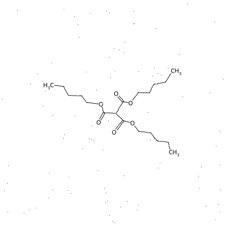 CCCCCOC(=O)C(C(=O)OCCCCC)C(=O)OCCCCC